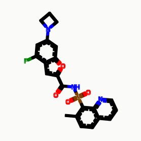 Cc1ccc2cccnc2c1S(=O)(=O)NC(=O)c1cc2c(F)cc(N3CCC3)cc2o1